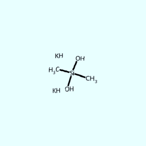 C[Si](C)(O)O.[KH].[KH]